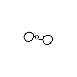 C1CCCC(COC2CCCCCCC2)CCC1